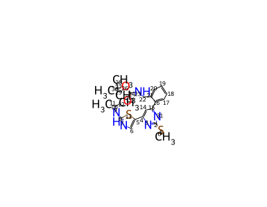 CSc1nc(-c2cnc(NC(C)C)s2)cc(-c2ccccc2CNC(=O)OC(C)(C)C)n1